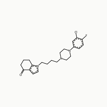 O=C1CCCc2c1ccn2CCCCN1CCN(c2ccc(F)c(Cl)c2)CC1